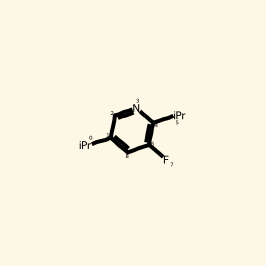 CC(C)c1cnc(C(C)C)c(F)c1